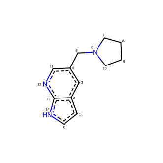 c1cc2cc(CN3CCCC3)cnc2[nH]1